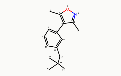 Cc1noc(C)c1-c1cccc(CC(C)(C)C)c1